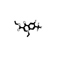 CCOC(=O)c1cn(CC)c2cc(C(F)(F)F)c(F)cc2c1=O